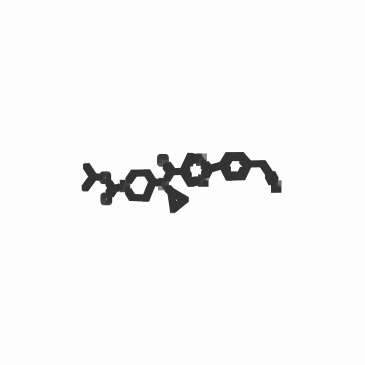 CC(C)OC(=O)N1CCC(N(C(=O)c2cnc(-c3ccc(CC#N)cc3)nc2)C2CC2)CC1